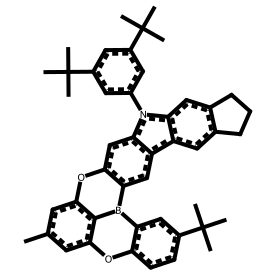 Cc1cc2c3c(c1)Oc1cc4c(cc1B3c1cc(C(C)(C)C)ccc1O2)c1cc2c(cc1n4-c1cc(C(C)(C)C)cc(C(C)(C)C)c1)CCC2